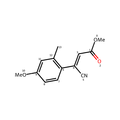 COC(=O)C=C(C#N)c1ccc(OC)cc1C